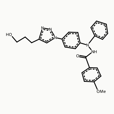 COc1ccc(C(=O)NN(c2ccccc2)c2ccc(-n3cc(CCCO)nn3)cc2)cc1